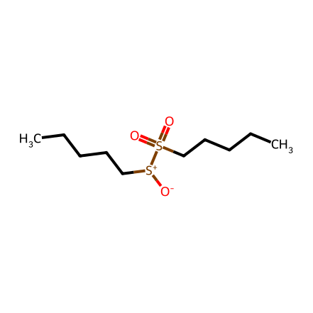 CCCCC[S+]([O-])S(=O)(=O)CCCCC